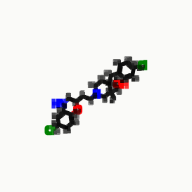 CC1(C)CN(CCC2CNC3=CC(Cl)CC=C3O2)CCC1(O)Cc1ccc(Cl)cc1